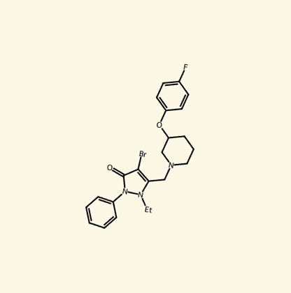 CCn1c(CN2CCCC(Oc3ccc(F)cc3)C2)c(Br)c(=O)n1-c1ccccc1